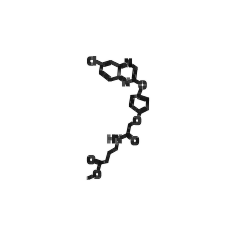 COC(=O)CCCNC(=O)COc1ccc(Oc2cnc3cc(Cl)ccc3n2)cc1